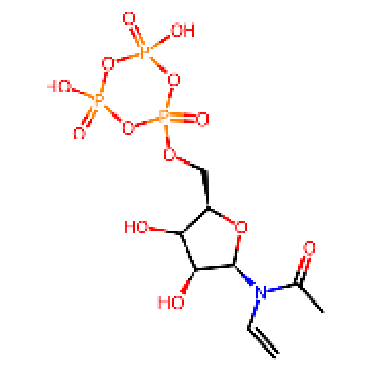 C=CN(C(C)=O)[C@@H]1O[C@H](COP2(=O)OP(=O)(O)OP(=O)(O)O2)C(O)[C@@H]1O